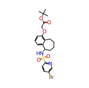 CC(C)(C)OC(=O)COc1cccc2c1CCCCC2NS(=O)(=O)c1ccc(Br)cn1